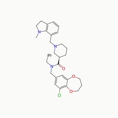 CC(C)CN(Cc1cc(Cl)c2c(c1)OCCCO2)C(=O)[C@@H]1CCCN(Cc2cccc3c2N(C)CC3)C1